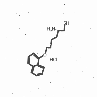 Cl.N[C@H](CS)CCCCOc1cccc2ccccc12